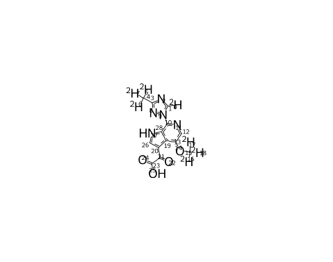 [2H]c1nc(C([2H])([2H])[2H])nn1-c1ncc(OC([2H])([2H])[2H])c2c(C(=O)C(=O)O)c[nH]c12